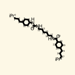 CC(C)CCCC1CCC(NC(=O)NCCCCCCNC(=O)C2CCC(CCCC(C)C)CC2)CC1